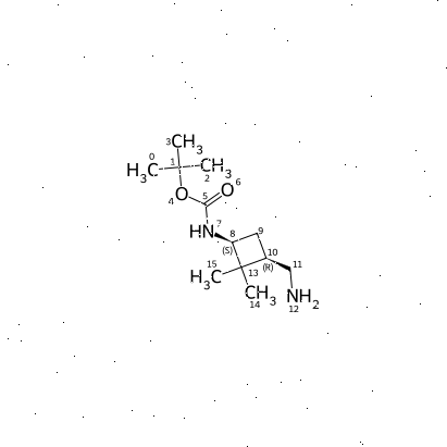 CC(C)(C)OC(=O)N[C@H]1C[C@@H](CN)C1(C)C